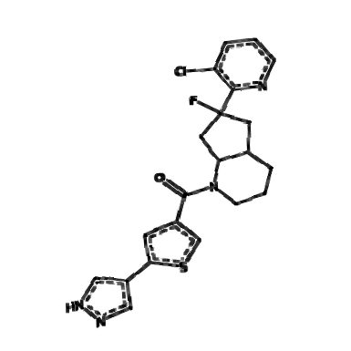 O=C(c1csc(-c2cn[nH]c2)c1)N1CCCC2CC(F)(c3ncccc3Cl)CC21